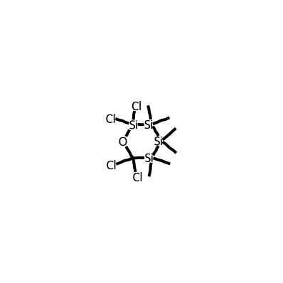 C[Si]1(C)C(Cl)(Cl)O[Si](Cl)(Cl)[Si](C)(C)[Si]1(C)C